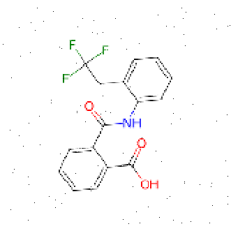 O=C(O)c1ccccc1C(=O)Nc1ccccc1CC(F)(F)F